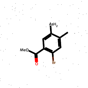 COC(=O)c1cc([AsH2])c(C)cc1Br